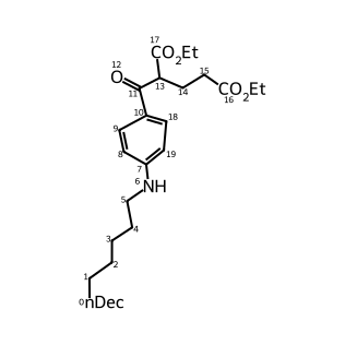 CCCCCCCCCCCCCCCNc1ccc(C(=O)C(CCC(=O)OCC)C(=O)OCC)cc1